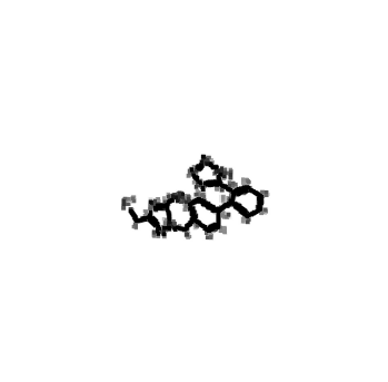 CCCCc1nc(CF)nn1Cc1ccc(-c2ccccc2-c2nnn[nH]2)cc1